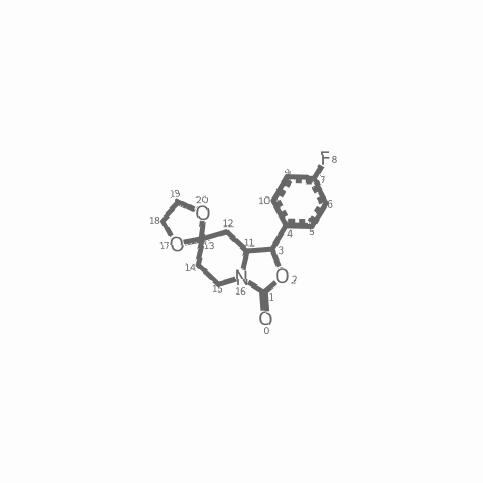 O=C1OC(c2ccc(F)cc2)C2CC3(CCN12)OCCO3